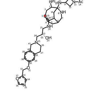 CCCC1CCCCC2CNC1(NC1CN(C(C)=O)C1)CC2C(=O)NC[C@H](O)CN1CCc2cc(OCc3cnco3)ccc2C1